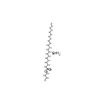 CCCCCCCCCCCCCCCCCCCCCC(=O)OCCCC.[SnH2]